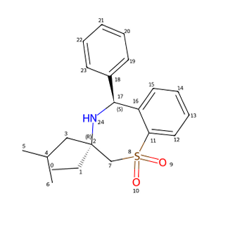 CC[C@@]1(CC(C)C)CS(=O)(=O)c2ccccc2[C@H](c2ccccc2)N1